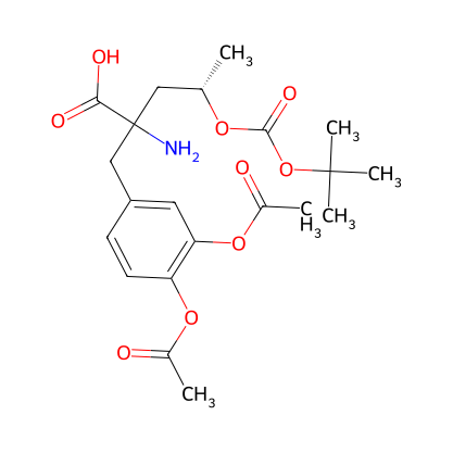 CC(=O)Oc1ccc(CC(N)(C[C@H](C)OC(=O)OC(C)(C)C)C(=O)O)cc1OC(C)=O